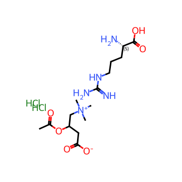 CC(=O)OC(CC(=O)[O-])C[N+](C)(C)C.Cl.Cl.N=C(N)NCCC[C@H](N)C(=O)O